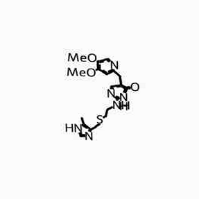 COc1cnc(Cc2cnc(NCCSCc3nc[nH]c3C)[nH]c2=O)cc1OC